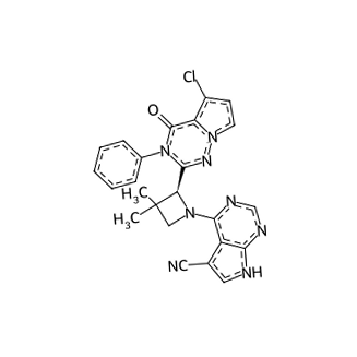 CC1(C)CN(c2ncnc3[nH]cc(C#N)c23)[C@@H]1c1nn2ccc(Cl)c2c(=O)n1-c1ccccc1